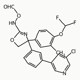 Cc1cc(C2(c3cccc(-c4cncc(Cl)c4)c3)COC(NOC=O)=N2)ccc1OC(F)F